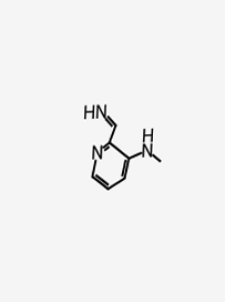 CNc1cccnc1C=N